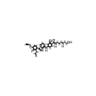 C#CCOc1ccc(-c2cnc3c(Nc4ccc(C(=O)NCCCNCCO)c(CC)c4)nccn23)c(CC=C)c1F